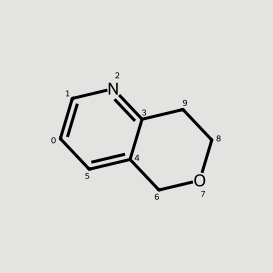 c1cnc2c(c1)COCC2